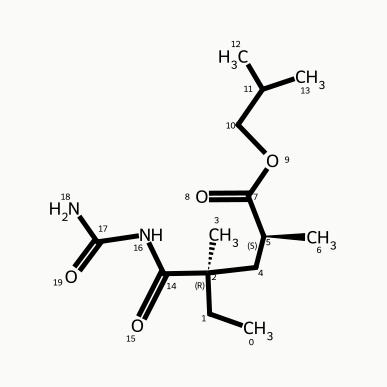 CC[C@](C)(C[C@H](C)C(=O)OCC(C)C)C(=O)NC(N)=O